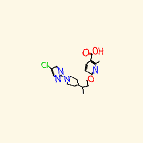 Cc1nc(OCCC(C)C2CCN(c3ncc(Cl)cn3)CC2)ccc1C(=O)O